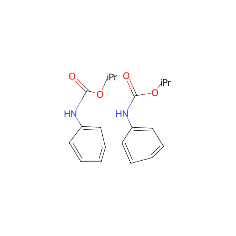 CC(C)OC(=O)Nc1ccccc1.CC(C)OC(=O)Nc1ccccc1